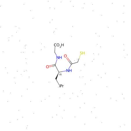 CC(C)C[C@H](NC(=O)CS)C(=O)NCC(=O)O